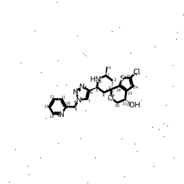 C[C@H]1C[C@@]2(C[C@@H](c3cn(Cc4ccccn4)nn3)N1)OC[C@@H](O)c1cc(Cl)sc12